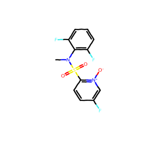 CN(c1c(F)cccc1F)S(=O)(=O)c1ccc(F)c[n+]1[O-]